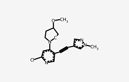 COC1CCN(c2cc(Cl)ncc2C#Cc2cnn(C)c2)CC1